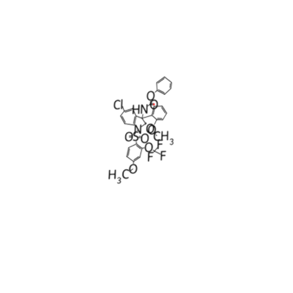 COc1ccc(S(=O)(=O)N2C(=O)C(NC(=O)Oc3ccccc3)(c3ccccc3OC)c3cc(Cl)ccc32)c(OC(F)(F)F)c1